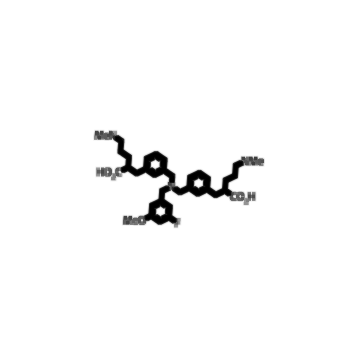 CNCCCC(Cc1cccc(CN(Cc2cccc(CC(CCCNC)C(=O)O)c2)Cc2cc(F)cc(OC)c2)c1)C(=O)O